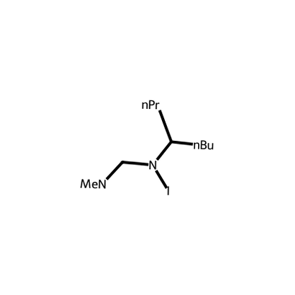 CCCCC(CCC)N(I)CNC